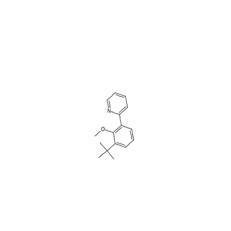 COc1c(-c2ccccn2)cccc1C(C)(C)C